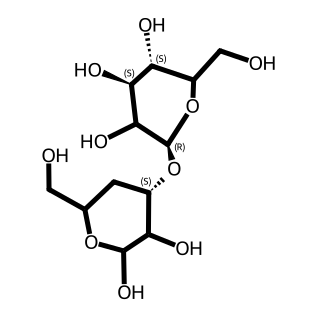 OCC1C[C@H](O[C@@H]2OC(CO)[C@@H](O)[C@H](O)C2O)C(O)C(O)O1